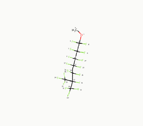 COC(F)(F)C(F)(F)C(F)(F)C(F)(F)C(F)(F)C(F)(C(F)(F)F)C(F)(F)F